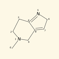 CN1CCC2=NCC=C2C1